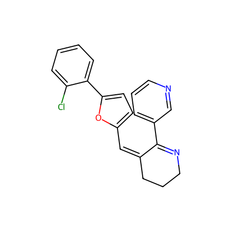 Clc1ccccc1-c1ccc(/C=C2/CCCN=C2c2cccnc2)o1